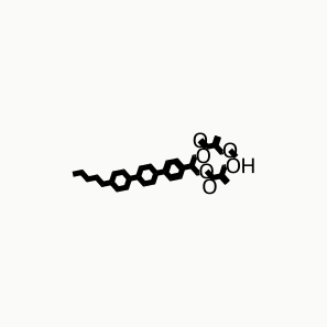 C=C(CO)C(=O)OCC(COC(=O)C(=C)COC)c1ccc(C2CCC(C3CCC(CCCCC)CC3)CC2)cc1